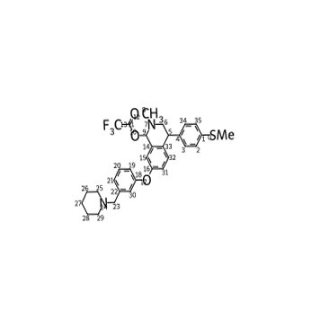 CSc1ccc(C2CN(C)C(OC(=O)C(F)(F)F)c3cc(Oc4cccc(CN5CCCCC5)c4)ccc32)cc1